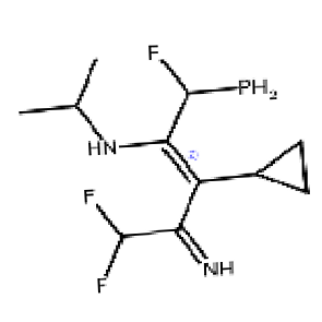 CC(C)N/C(=C(\C(=N)C(F)F)C1CC1)C(F)P